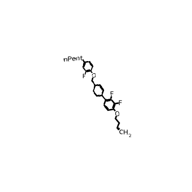 C=CCCOc1ccc(C2C=CC(COc3ccc(CCCCC)cc3F)CC2)c(F)c1F